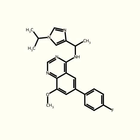 COc1cc(-c2ccc(F)cc2)cc2c(NC(C)c3cn(C(C)C)cn3)ncnc12